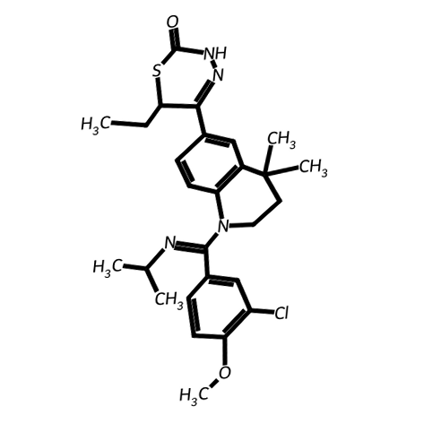 CCC1SC(=O)NN=C1c1ccc2c(c1)C(C)(C)CCN2C(=NC(C)C)c1ccc(OC)c(Cl)c1